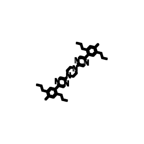 CCCc1cc(-c2cnc(N3CCN(c4cnc(-c5cc(CCC)c(C)cc5CCC)cn4)CC3)cn2)c(CCC)cc1C